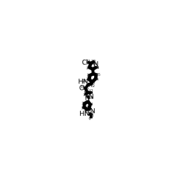 Cc1nc2cc(-n3cc(C(=O)c4cc5ccc(-c6cncc(Cl)c6)cc5[nH]4)cn3)ccc2[nH]1